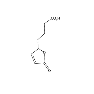 O=C(O)CCC[C@H]1C=CC(=O)O1